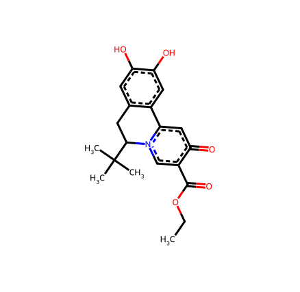 CCOC(=O)c1cn2c(cc1=O)-c1cc(O)c(O)cc1CC2C(C)(C)C